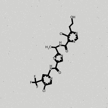 CC(NC(=O)c1ncnc(CCO)c1Cl)c1ncc(C(=O)Nc2cc(C(F)(F)F)c(Cl)cn2)s1